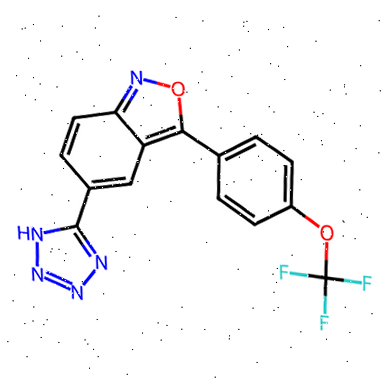 FC(F)(F)Oc1ccc(-c2onc3ccc(-c4nnn[nH]4)cc23)cc1